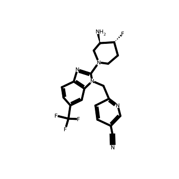 N#Cc1ccc(Cn2c(N3CC[C@@H](F)[C@H](N)C3)nc3ccc(C(F)(F)F)cc32)nc1